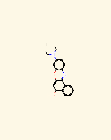 CCN(CC)c1ccc2c(c1)OC1=CC(O)c3ccccc3C1=N2